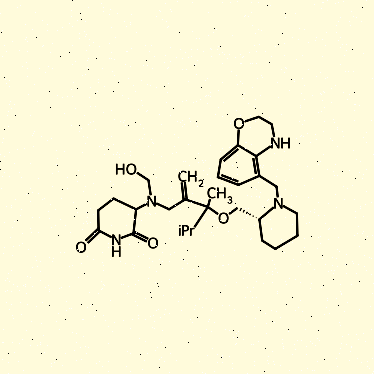 C=C(CN(CO)C1CCC(=O)NC1=O)C(C)(OC[C@H]1CCCCN1Cc1cccc2c1NCCO2)C(C)C